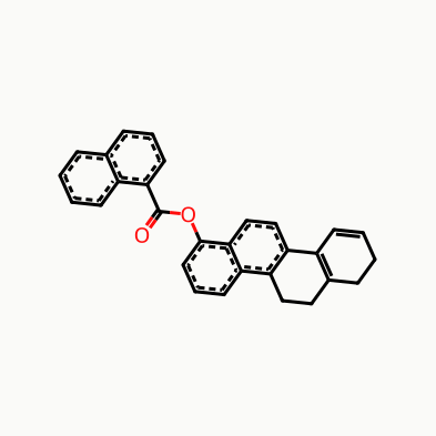 O=C(Oc1cccc2c3c(ccc12)C1=C(CCC=C1)CC3)c1cccc2ccccc12